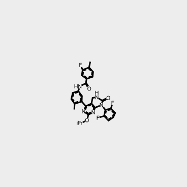 Cc1ccc(C(=O)Nc2ccc(C)c(-c3nc(OC(C)C)nc4c3CNC(=O)N4c3c(F)cccc3F)c2)cc1F